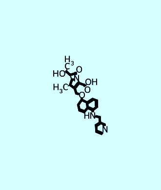 C[C@H]1C(COC2CC=Cc3c(NCc4cccnc4)cccc32)=C(C(=O)O)N2C(=O)[C@H]([C@@H](C)O)C12